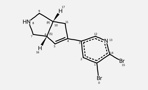 Brc1cc(C2=C[C@@H]3CNC[C@@H]3C2)cnc1Br